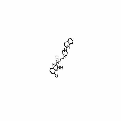 O=c1cccc2nc(NCCCN3CCN(c4ccc5ccccc5n4)CC3)[nH]cc1-2